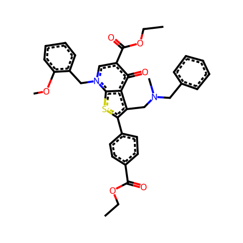 CCOC(=O)c1ccc(-c2sc3c(c2CN(C)Cc2ccccc2)c(=O)c(C(=O)OCC)cn3Cc2ccccc2OC)cc1